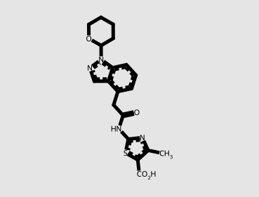 Cc1nc(NC(=O)Cc2cccc3c2cnn3C2CCCCO2)sc1C(=O)O